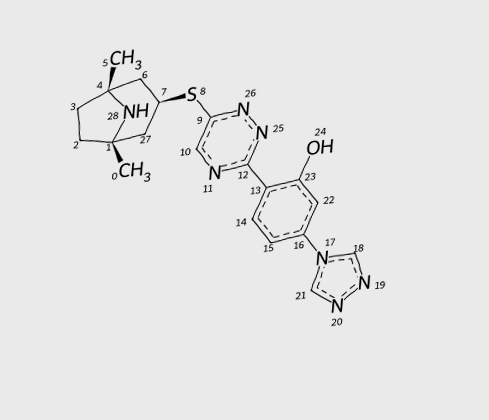 C[C@]12CC[C@](C)(C[C@@H](Sc3cnc(-c4ccc(-n5cnnc5)cc4O)nn3)C1)N2